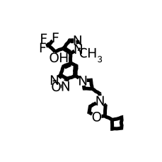 Cn1ncc(C(O)C(F)(F)F)c1-c1cc(N2CC(CN3CCOC(C4CCC4)C3)C2)c2nonc2c1